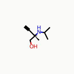 C#C[C@@](C)(CO)NC(C)C